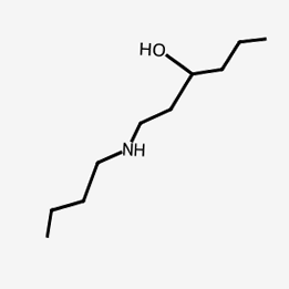 CCCCNCCC(O)CCC